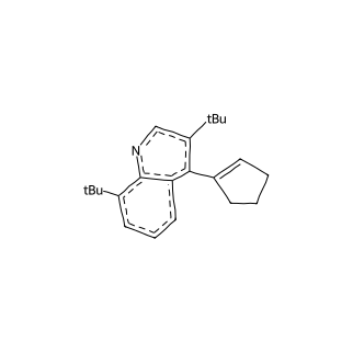 CC(C)(C)c1cnc2c(C(C)(C)C)cccc2c1C1=CCCC1